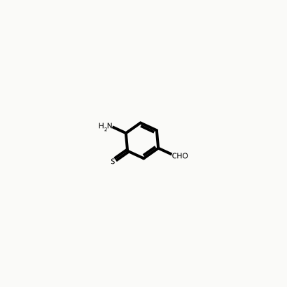 NC1C=CC(C=O)=CC1=S